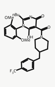 CCCCc1nc(=O)c(C(=O)N2CCC(Cc3ccc(C(F)(F)F)cc3)CC2)c(O)n1-c1c(OC)cccc1OC